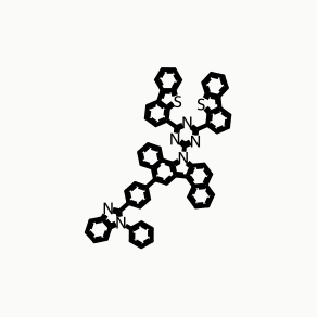 c1ccc(-n2c(-c3ccc(-c4cc5c6c7ccccc7ccc6n(-c6nc(-c7cccc8c7sc7ccccc78)nc(-c7cccc8c7sc7ccccc78)n6)c5c5ccccc45)cc3)nc3ccccc32)cc1